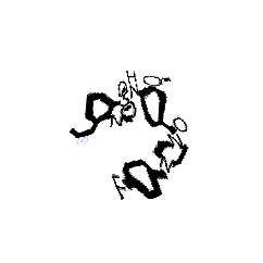 C=Nc1c(/C=C\C)cccc1S(=O)(=O)Nc1ccc(C(=O)N2CCN(Cc3ccc(F)cc3)CC2)cc1OC